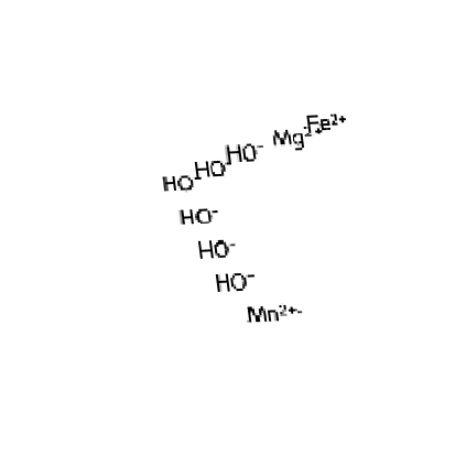 [Fe+2].[Mg+2].[Mn+2].[OH-].[OH-].[OH-].[OH-].[OH-].[OH-]